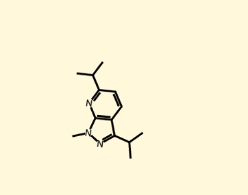 CC(C)c1ccc2c(C(C)C)nn(C)c2n1